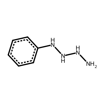 NNNNc1ccccc1